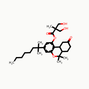 CCCCCCC(C)(C)c1cc(OC(=O)C(C)(CO)CO)c2c(c1)OC(C)(C)C1CCC(=O)CC21